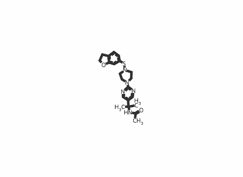 CC(=O)NC(C)(C)c1cnc(N2CCN(Sc3ccc4c(c3)OCC4)CC2)nc1